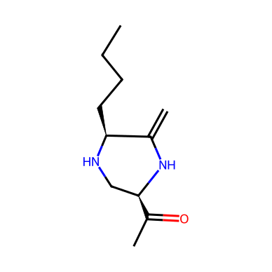 C=C1N[C@@H](C(C)=O)CN[C@H]1CCCC